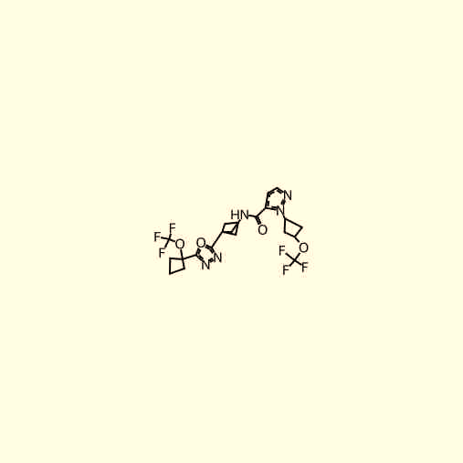 O=C(NC12CC(c3nnc(C4(OC(F)(F)F)CCC4)o3)(C1)C2)c1ccnn1C1CC(OC(F)(F)F)C1